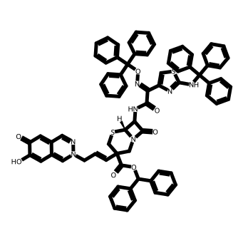 O=C(NC1C(=O)N2CC(C=CCn3cc4cc(O)c(=O)cc-4cn3)(C(=O)OC(c3ccccc3)c3ccccc3)CS[C@H]12)C(=NOC(c1ccccc1)(c1ccccc1)c1ccccc1)c1csc(NC(c2ccccc2)(c2ccccc2)c2ccccc2)n1